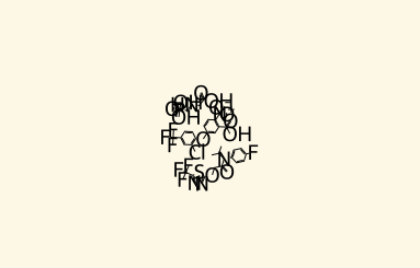 CC(C)N(C(=O)COc1nnc(C(F)(F)F)s1)c1ccc(F)cc1.O=C(O)CNCP(=O)(O)O.O=C(O)c1cc(Oc2ccc(C(F)(F)F)cc2Cl)ccc1[N+](=O)[O-]